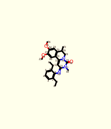 CCc1cccc(CC)c1N=c1cc2n(c(=O)n1C)CC(C)c1cc(OC)c(OC)cc1-2